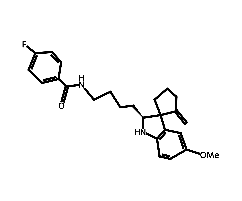 C=C1CCCC12c1cc(OC)ccc1N[C@H]2CCCCNC(=O)c1ccc(F)cc1